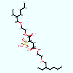 CCCCC(CC)COCCOC(=O)CC(C(=O)OCCOCC(CC)CCCC)S(=O)(=O)O